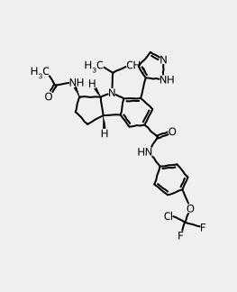 CC(=O)N[C@@H]1CC[C@H]2c3cc(C(=O)Nc4ccc(OC(F)(F)Cl)cc4)cc(-c4ccn[nH]4)c3N(C(C)C)[C@@H]12